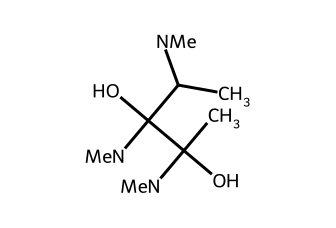 CNC(C)C(O)(NC)C(C)(O)NC